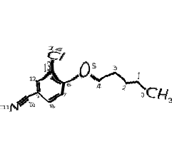 CCCCCOc1ccc(C#N)cc1Cl